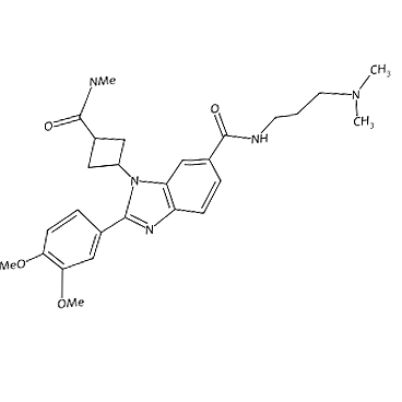 CNC(=O)C1CC(n2c(-c3ccc(OC)c(OC)c3)nc3ccc(C(=O)NCCCN(C)C)cc32)C1